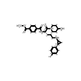 COC(=O)c1ccc(C(=O)N[C@@H](CCCNC2C[C@H]2c2ccc(F)cc2)C(=O)N2CCC(O)CC2)cc1